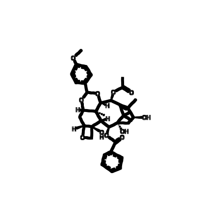 COc1ccc(C2O[C@H]3C[C@H]4OC[C@@]4(O)[C@H]4[C@H](OC(=O)c5ccccc5)[C@]5(O)C[C@H](O)C(C)=C([C@H](OC(C)=O)[C@H](O2)[C@]34C)C5(C)C)cc1